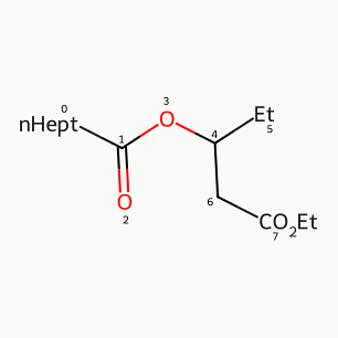 CCCCCCCC(=O)OC(CC)CC(=O)OCC